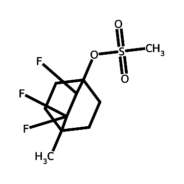 CC12CCC(OS(C)(=O)=O)(CC1)C(F)C2(F)F